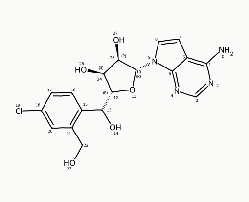 Nc1ncnc2c1ccn2[C@@H]1O[C@H](C(O)c2ccc(Cl)cc2CO)[C@@H](O)[C@H]1O